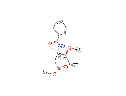 CCO[C@@H]1C[C@@](C)(NC(=O)c2ccccc2)[C@@H](OCC)[C@@H](C)O1